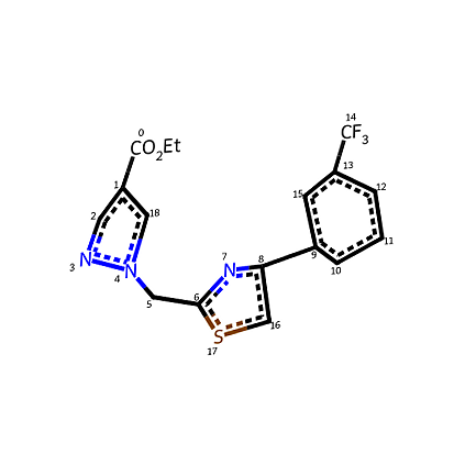 CCOC(=O)c1cnn(Cc2nc(-c3cccc(C(F)(F)F)c3)cs2)c1